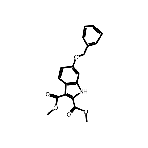 COC(=O)c1[nH]c2cc(OCc3ccccc3)ccc2c1C(=O)OC